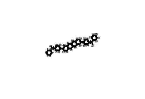 CN(c1ccccc1)c1ccc(-c2ccc3cc4cc5cc(-c6ccc(N(C)c7ccccc7)cc6)ccc5cc4cc3c2)cc1